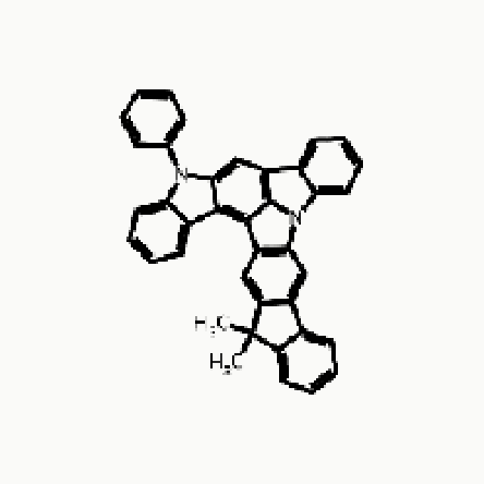 CC1(C)c2ccccc2-c2cc3c(cc21)c1c2c4ccccc4n(-c4ccccc4)c2cc2c4ccccc4n3c21